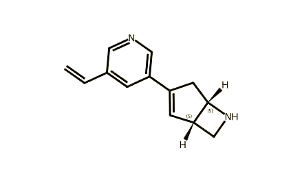 C=Cc1cncc(C2=C[C@H]3CN[C@H]3C2)c1